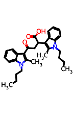 CCCCn1c(C)c(C(=O)CC(C(=O)O)c2c(C)n(CCCC)c3ccccc23)c2ccccc21